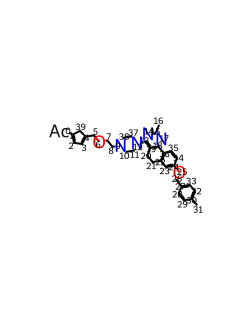 CC(=O)C1=CC=C(COCCN2CCN(c3nc(C)nc4c3CCc3cc(OCc5ccc(C)cc5)ccc3-4)CC2)C1